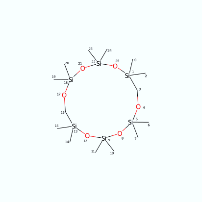 C[Si]1(C)CO[Si](C)(C)O[Si](C)(C)O[Si](C)(C)CO[Si](C)(C)O[Si](C)(C)O1